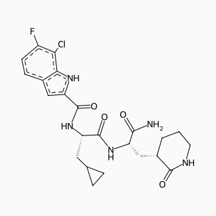 NC(=O)[C@H](C[C@@H]1CCCNC1=O)NC(=O)[C@H](CC1CC1)NC(=O)c1cc2ccc(F)c(Cl)c2[nH]1